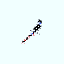 N#C/C(C(=O)NCCOCCOCCO)=C(\c1ccc2cc(N3CCCC3)ccc2c1)C(F)(F)F